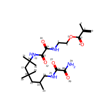 C=C(C)C(=O)OCCNC(=O)C(=O)NC(C)(C)CC(C)(C)CC(C)CNC(=O)C(N)=O